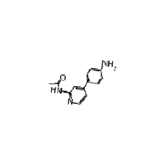 CC(=O)Nc1cc(-c2ccc(N)cc2)ccn1